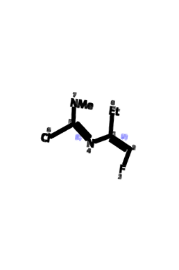 CCC(=C/F)/N=C(/Cl)NC